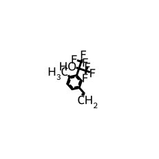 C=Cc1ccc(C)c(C(O)(C(F)(F)F)C(F)(F)F)c1